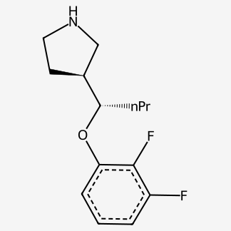 CCC[C@H](Oc1cccc(F)c1F)[C@H]1CCNC1